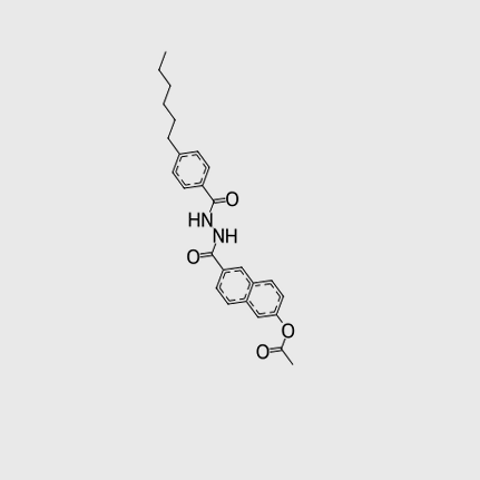 CCCCCCc1ccc(C(=O)NNC(=O)c2ccc3cc(OC(C)=O)ccc3c2)cc1